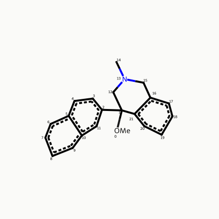 COC1(c2ccc3ccccc3c2)CN(C)Cc2ccccc21